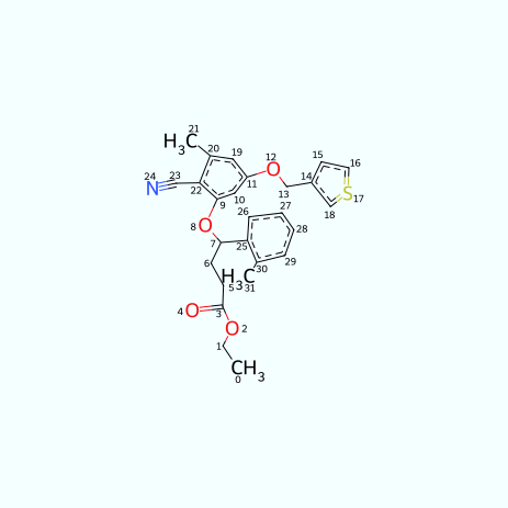 CCOC(=O)CCC(Oc1cc(OCc2ccsc2)cc(C)c1C#N)c1ccccc1C